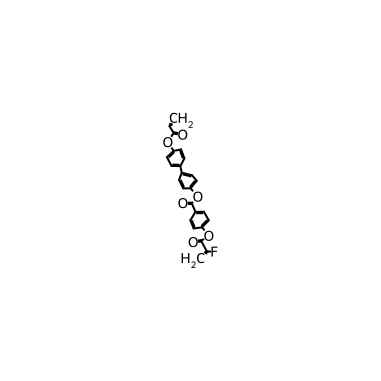 C=CC(=O)Oc1ccc(-c2ccc(OC(=O)c3ccc(OC(=O)C(=C)F)cc3)cc2)cc1